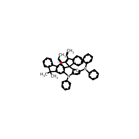 C=CC1=C(/C=C\C)C2(c3ccccc31)c1cc(N(c3ccccc3)c3ccccc3)ccc1N(c1ccccc1)c1cc3c(cc12)-c1ccccc1C3(C)C